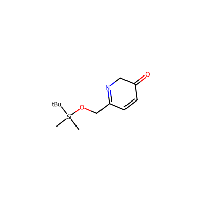 CC(C)(C)[Si](C)(C)OCC1=NCC(=O)C=C1